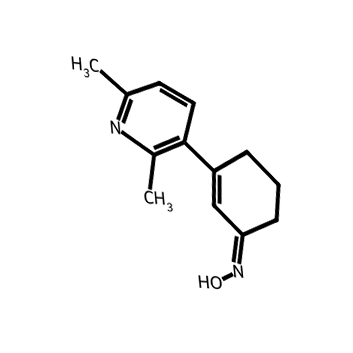 Cc1ccc(C2=CC(=NO)CCC2)c(C)n1